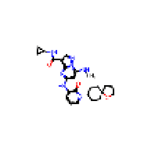 CNc1cc(Nc2cccn([C@H]3CC[C@]4(CCCO4)CC3)c2=O)nc2c(C(=O)NC3CC3)cnn12